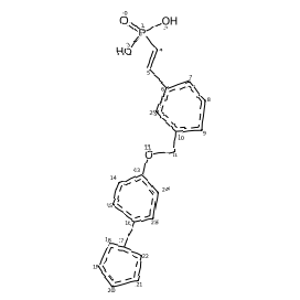 O=P(O)(O)C=Cc1cccc(COc2ccc(-c3ccccc3)cc2)c1